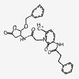 Cc1ccc(NC(=O)CCc2ccccc2)c(=O)n1CC(=O)NC1CC(=O)OC1OCc1ccccc1